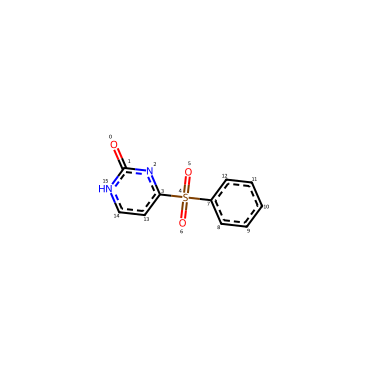 O=c1nc(S(=O)(=O)c2ccccc2)cc[nH]1